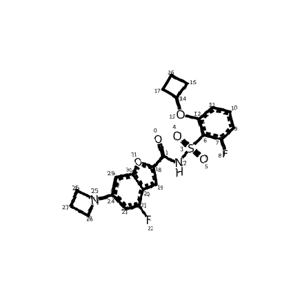 O=C(NS(=O)(=O)c1c(F)cccc1OC1CCC1)c1cc2c(F)cc(N3CCC3)cc2o1